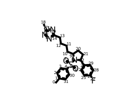 Cc1ccc(S(=O)(=O)N2C(CCCCc3nnn(C)n3)CCC2c2ccc(F)cc2)cc1